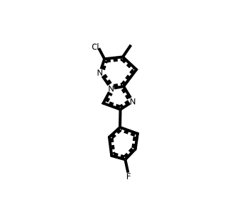 Cc1cc2nc(-c3ccc(F)cc3)cn2nc1Cl